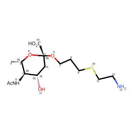 CC(=O)N[C@H]1[C@H](C)O[C@@](OCCCSCCN)(C(=O)O)C[C@@H]1O